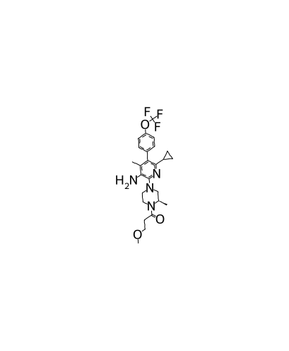 COCCC(=O)N1CCN(c2nc(C3CC3)c(-c3ccc(OC(F)(F)F)cc3)c(C)c2N)C[C@H]1C